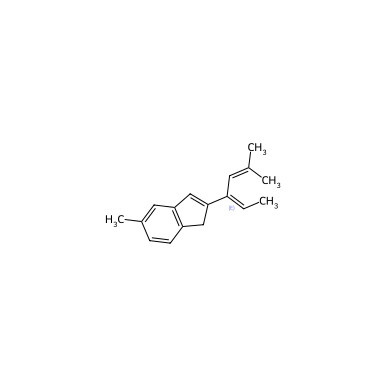 C/C=C(\C=C(C)C)C1=Cc2cc(C)ccc2C1